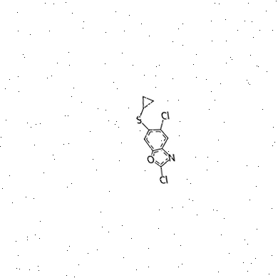 Clc1nc2cc(Cl)c(SC3CC3)cc2o1